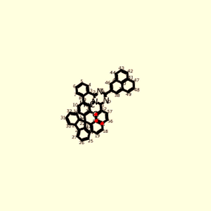 CN1C(c2ccccc2-c2ccc3c(c2)Oc2ccccc2C32c3ccccc3C3C=CC=CC32)=NC(c2cc3c4c(cccc4c2)CC=C3)=NC1c1ccccc1